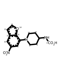 O=C(O)NC1CCN(c2cc([N+](=O)[O-])cc3ccoc23)CC1